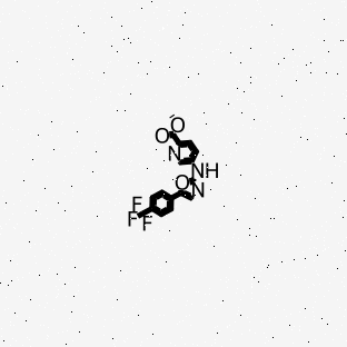 COC(=O)c1ccc(Nc2ncc(-c3ccc(C(F)(F)F)cc3)o2)cn1